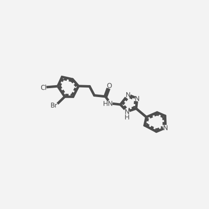 O=C(CCc1ccc(Cl)c(Br)c1)Nc1nnc(-c2ccncc2)[nH]1